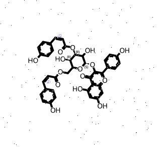 O=C(/C=C\c1ccc(O)cc1)OCC1O[C@@H](Oc2c(-c3ccc(O)cc3)oc3cc(O)cc(O)c3c2=O)C(O)[C@H](OC(=O)/C=C\c2ccc(O)cc2)[C@@H]1O